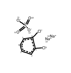 Clc1ccccc1Cl.O=S(=O)([O-])[O-].[Na+].[Na+]